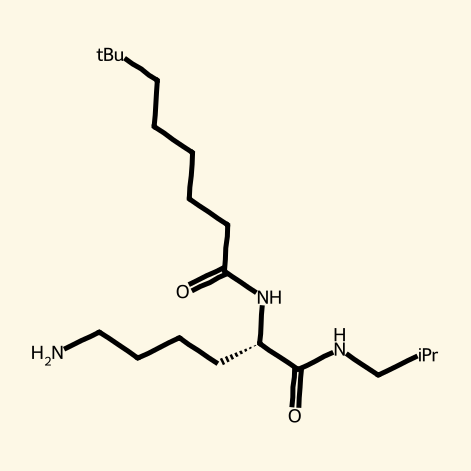 CC(C)CNC(=O)[C@H](CCCCN)NC(=O)CCCCCC(C)(C)C